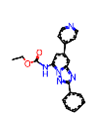 CCOC(=O)Nc1cc(-c2ccncc2)cc2nc(-c3ccccc3)nn12